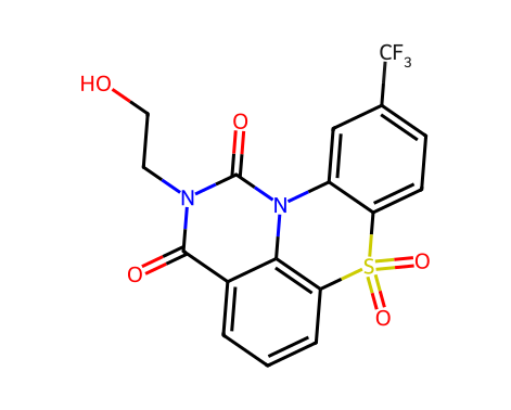 O=c1c2cccc3c2n(c(=O)n1CCO)-c1cc(C(F)(F)F)ccc1S3(=O)=O